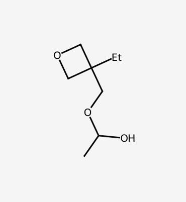 CCC1(COC(C)O)COC1